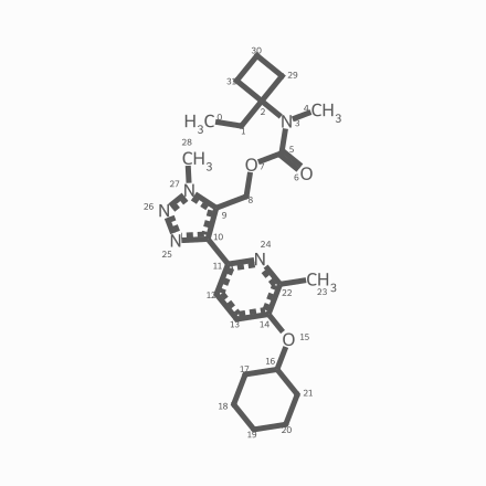 CCC1(N(C)C(=O)OCc2c(-c3ccc(OC4CCCCC4)c(C)n3)nnn2C)CCC1